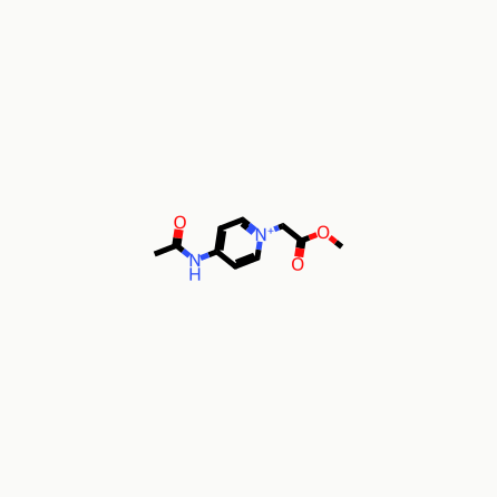 COC(=O)C[n+]1ccc(NC(C)=O)cc1